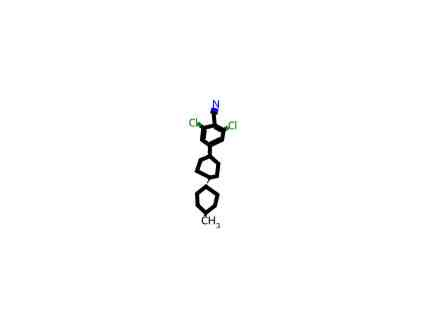 C[C@H]1CC[C@H](C2CCC(c3cc(Cl)c(C#N)c(Cl)c3)CC2)CC1